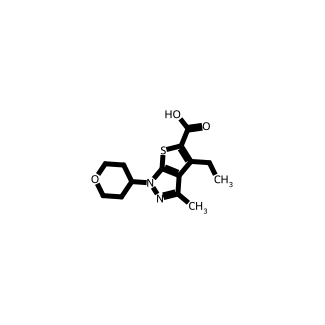 CCc1c(C(=O)O)sc2c1c(C)nn2C1CCOCC1